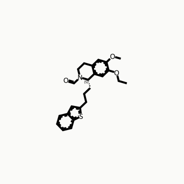 CCOc1cc2c(cc1OC)CCN(C=O)[C@H]2CCCc1cc2ccccc2s1